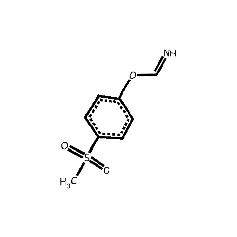 CS(=O)(=O)c1ccc(OC=N)cc1